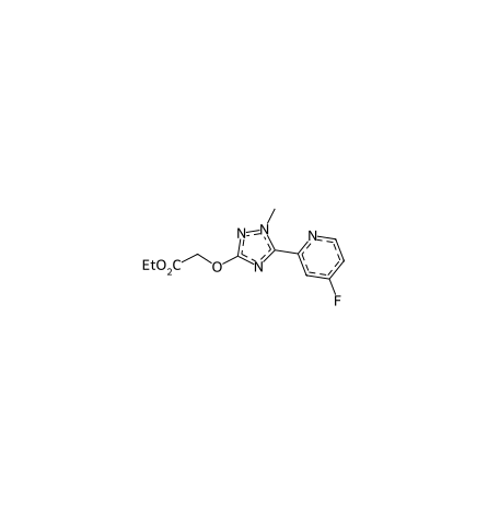 CCOC(=O)COc1nc(-c2cc(F)ccn2)n(C)n1